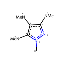 [CH2]n1nc(NC)c(NC)c1NC